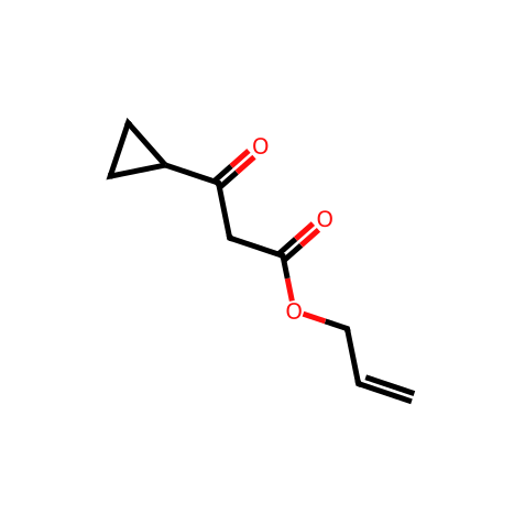 C=CCOC(=O)CC(=O)C1CC1